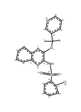 CC(C)(Oc1nc2ccccc2nc1NS(=O)(=O)c1ccccc1Cl)c1cccnc1